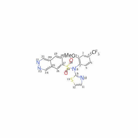 COc1cc(C(F)(F)F)ccc1N(c1nccs1)S(=O)(=O)c1ccc2cnncc2c1